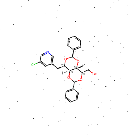 OC[C@H]1OC(c2ccccc2)O[C@@H]2[C@@H]1OC(c1ccccc1)O[C@@H]2Cc1cncc(Cl)c1